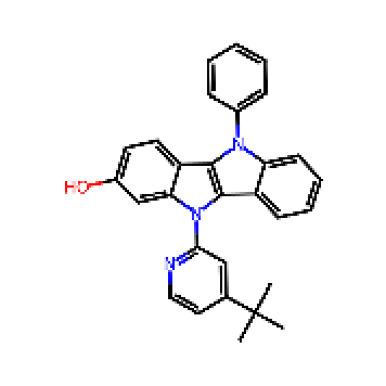 CC(C)(C)c1ccnc(-n2c3cc(O)ccc3c3c2c2ccccc2n3-c2ccccc2)c1